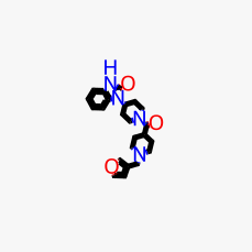 O=C(C1CCN(Cc2ccoc2)CC1)N1CCC(n2c(=O)[nH]c3ccccc32)CC1